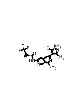 Cc1nn(C)c(C)c1-c1cc2cc(NC(=O)[C@@H]3CC3C(F)(F)F)ncc2c(N)n1